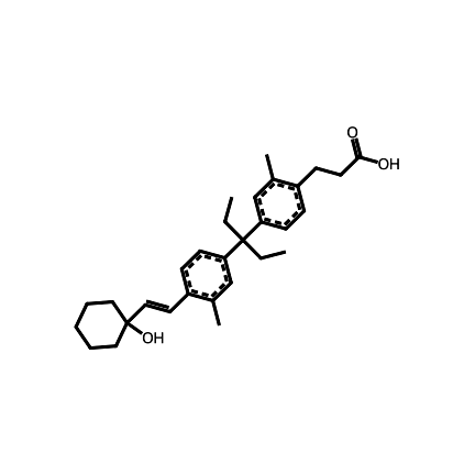 CCC(CC)(c1ccc(/C=C/C2(O)CCCCC2)c(C)c1)c1ccc(CCC(=O)O)c(C)c1